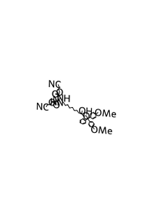 COc1ccc(C(OCC(O)CCCCCCCCN/C(=N\C(=O)OCCC#N)NC(=O)OCCC#N)(c2ccccc2)c2ccc(OC)cc2)cc1